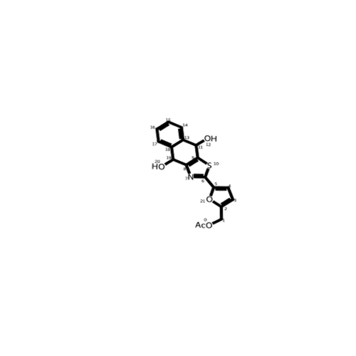 CC(=O)OCc1ccc(-c2nc3c(s2)C(O)c2ccccc2C3O)o1